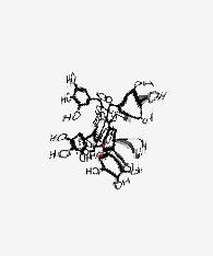 O=C(C(=O)[C@@](O)(C(=O)c1cc(O)c(O)c(O)c1)[C@](O)(C(=O)c1cc(O)c(O)c(O)c1)[C@@](O)(C(=O)c1cc(O)c(O)c(O)c1)[C@](O)(CO)C(=O)c1cc(O)c(O)c(O)c1)c1cc(O)c(O)c(O)c1